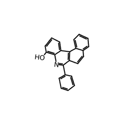 Oc1cccc2c1nc(-c1ccccc1)c1ccc3ccccc3c12